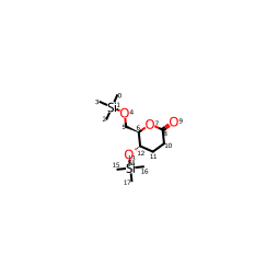 C[Si](C)(C)OC[C@H]1OC(=O)CC[C@@H]1O[Si](C)(C)C